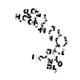 CC(C)N(C)C(=O)c1cc2c(ccc3cnc(Nc4cccc(S(C)(C)(C)=O)c4)nc32)s1